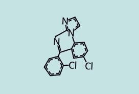 Clc1ccc2c(c1)C(c1ccccc1Cl)=NCc1nccn1-2